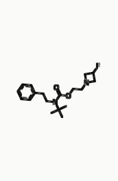 CC(C)(C)N(CCc1ccccc1)C(=O)OCCN1CC(F)C1